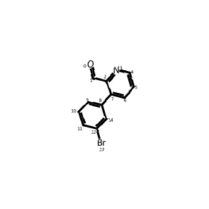 O=Cc1ncccc1-c1cccc(Br)c1